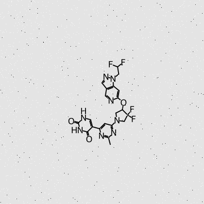 Cc1nc(-c2c[nH]c(=O)[nH]c2=O)cc(N2CC(Oc3cc4c(cn3)cnn4CC(F)F)C(F)(F)C2)n1